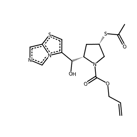 C=CCOC(=O)N1C[C@@H](SC(C)=O)C[C@H]1C(O)c1csc2cncn12